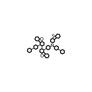 c1ccc(-c2ccc(-c3c(-c4ccc5oc6ccccc6c5c4-c4ccc(N(c5ccc(-c6ccccc6)cc5)c5ccc6sc7ccccc7c6c5)cc4)ccc4oc5ccccc5c34)cc2)cc1